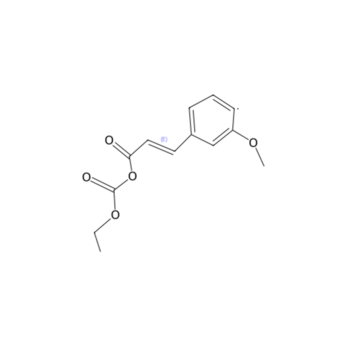 CCOC(=O)OC(=O)/C=C/c1cc[c]c(OC)c1